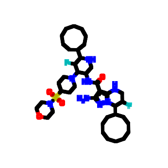 Nc1nn2c(c1C(=O)NC1CNC(C3CCCCCCCC3)C(F)C1N1CCC(S(=O)(=O)N3CCOCC3)CC1)NCC(F)C2C1CCCCCCCCC1